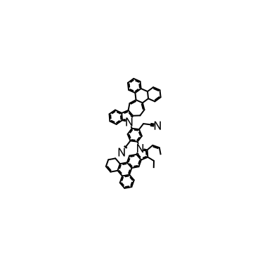 C/C=C\c1c(CC)c2cc3c(cc2n1-c1cc(CC#N)c(-n2c4c(c5ccccc52)C=C2C(=CC4)C4C=CC=CC4c4ccccc42)cc1C#N)c1c(c2ccccc23)C=CCC1